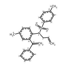 C=CCN(c1ccc(C)cc1C(=C)c1ccccc1)S(=O)(=O)c1ccc(C)cc1